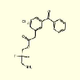 C.NCC(F)(F)COC(=O)Cc1cccc(C(=O)c2ccccc2)c1